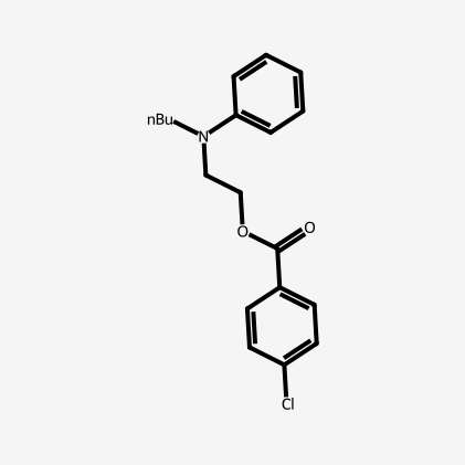 CCCCN(CCOC(=O)c1ccc(Cl)cc1)c1ccccc1